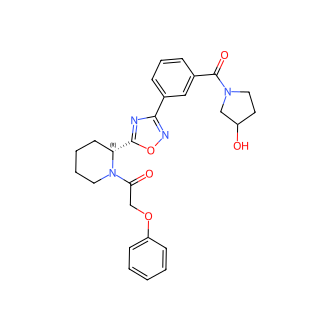 O=C(c1cccc(-c2noc([C@H]3CCCCN3C(=O)COc3ccccc3)n2)c1)N1CCC(O)C1